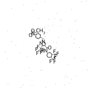 Cc1cc(Cn2cc(C(=O)Nc3ccc(C(F)(F)F)c(C(F)(F)F)c3)c(C(F)(F)C(F)(F)F)n2)ccc1[N+](=O)[O-]